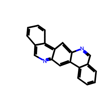 c1ccc2c(c1)cnc1cc3c(cc12)ncc1ccccc13